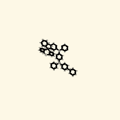 C1=C(N(c2ccccc2)c2ccc(N(c3ccccc3)c3ccc(-c4ccccc4)cc3)cc2)C=C2C(C1)c1ccccc1C21c2ccccc2Oc2ccccc21